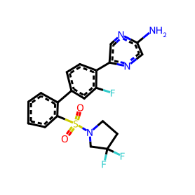 Nc1cnc(-c2ccc(-c3ccccc3S(=O)(=O)N3CCC(F)(F)C3)cc2F)cn1